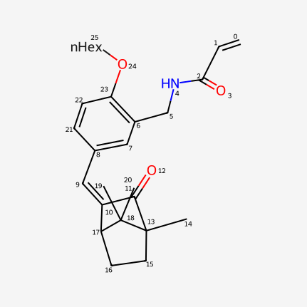 C=CC(=O)NCc1cc(C=C2C(=O)C3(C)CCC2C3(C)C)ccc1OCCCCCC